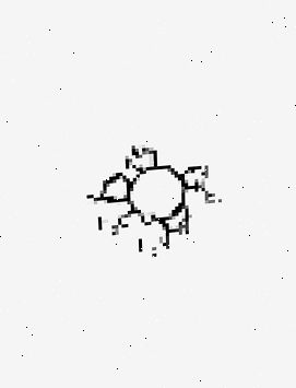 CCn1ncc2c1-c1cnc(N)c(c1)OC(C)c1cc(F)ccc1-c1nocc1C2